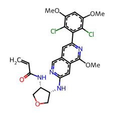 C=CC(=O)N[C@H]1COC[C@H]1Nc1cc2c(OC)nc(-c3c(Cl)c(OC)cc(OC)c3Cl)cc2cn1